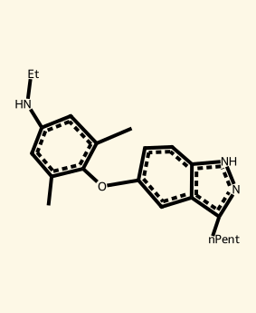 CCCCCc1n[nH]c2ccc(Oc3c(C)cc(NCC)cc3C)cc12